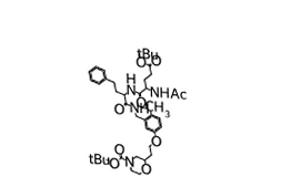 CC(=O)NC(CCC(=O)OC(C)(C)C)C(=O)NC(CCc1ccccc1)C(=O)NCc1cc(OCCC2CN(C(=O)OC(C)(C)C)CCO2)ccc1C